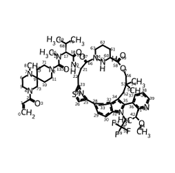 C=CC(=O)N1CCN(C)C2(CCN(C(=O)N(C)[C@H](C(=O)N[C@H]3Cc4nc(cs4)-c4ccc5c(c4)c(c(-c4cccnc4[C@H](C)OC)n5CC(F)(F)F)CC(C)(C)COC(=O)[C@@H]4CCCN(N4)C3=O)C(C)C)CC2)C1